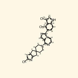 Clc1nc2c(s1)CC1(CCN(c3nccn4c(-c5ccc6[nH]nc(Cl)c6c5Cl)ncc34)CC1)C2